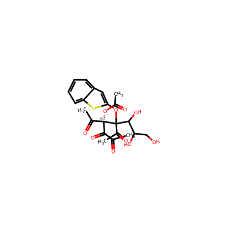 CC(=O)O[C@@](C(C)=O)(C(=O)C(C)=O)C(Oc1cc2ccccc2s1)(C(C)=O)C(O)C(O)CO